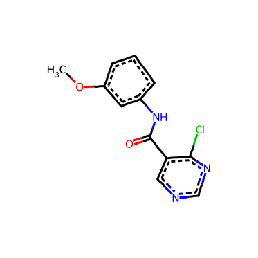 COc1cccc(NC(=O)c2cncnc2Cl)c1